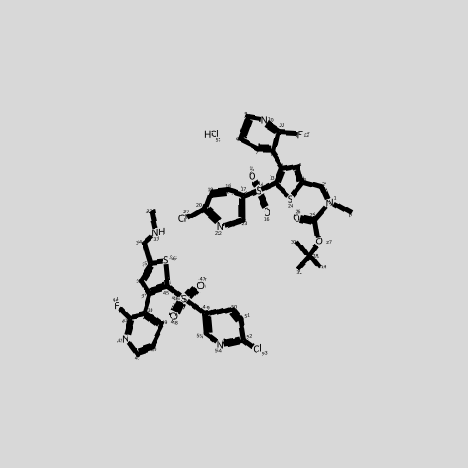 CN(Cc1cc(-c2cccnc2F)c(S(=O)(=O)c2ccc(Cl)nc2)s1)C(=O)OC(C)(C)C.CNCc1cc(-c2cccnc2F)c(S(=O)(=O)c2ccc(Cl)nc2)s1.Cl